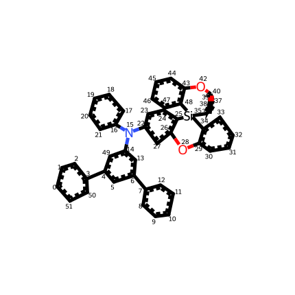 c1ccc(-c2cc(-c3ccccc3)cc(N(c3ccccc3)c3ccc4c(c3)Oc3ccccc3[Si]43c4ccccc4Oc4ccccc43)c2)cc1